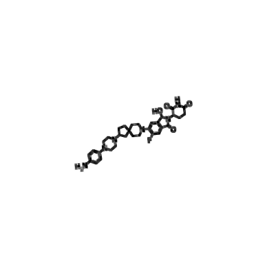 Nc1ccc(N2CCN(C3CCC4(CCN(c5cc6c(cc5F)C(=O)N(C5CCC(=O)NC5=O)C6O)CC4)C3)CC2)cc1